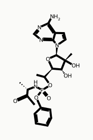 CC(=O)[C@H](C)NP(=O)(Oc1ccccc1)OC(C)[C@H]1O[C@@H](n2ccc3c(N)ncnc32)[C@](C)(O)[C@@H]1O